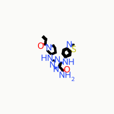 C=CC(=O)N1CCCC(Nc2nnc(C(N)=O)c(Nc3ccc4ncsc4c3)n2)C1